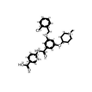 CN1CCC(Oc2cc(OCc3ccccc3Cl)cc(C(=O)Nc3ccc(C(=O)O)cn3)c2)CC1